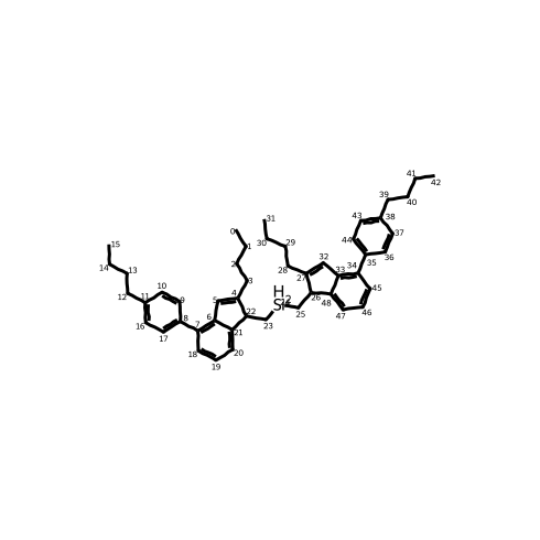 CCCCC1=Cc2c(-c3ccc(CCCC)cc3)cccc2C1C[SiH2]CC1C(CCCC)=Cc2c(-c3ccc(CCCC)cc3)cccc21